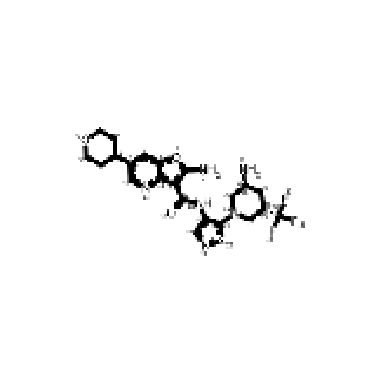 Nc1oc2cc(C3CCOCC3)cnc2c1C(=O)Nc1cnsc1N1C[C@@H](N)C[C@H](C(F)(F)F)C1